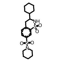 O=S1(=O)NC(C2CCCCC2)Cc2ccc(S(=O)(=O)N3CCCCC3)cc21